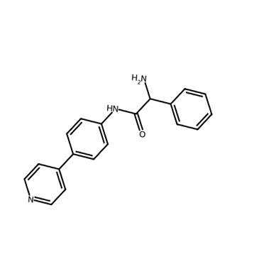 NC(C(=O)Nc1ccc(-c2ccncc2)cc1)c1ccccc1